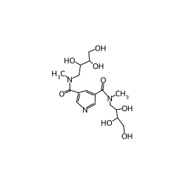 CN(CC(O)C(O)CO)C(=O)c1cncc(C(=O)N(C)CC(O)C(O)CO)c1